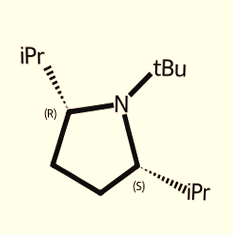 CC(C)[C@H]1CC[C@@H](C(C)C)N1C(C)(C)C